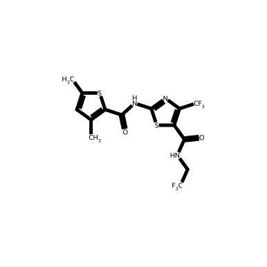 Cc1cc(C)c(C(=O)Nc2nc(C(F)(F)F)c(C(=O)NCC(F)(F)F)s2)s1